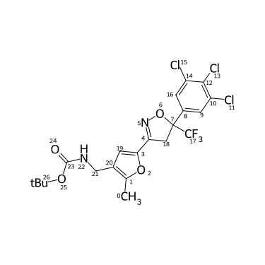 Cc1oc(C2=NOC(c3cc(Cl)c(Cl)c(Cl)c3)(C(F)(F)F)C2)cc1CNC(=O)OC(C)(C)C